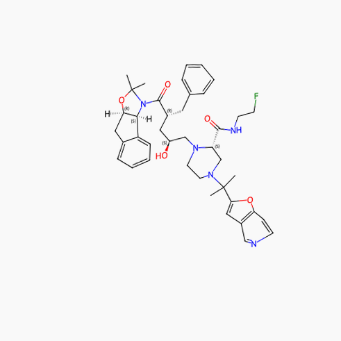 CC1(C)O[C@@H]2Cc3ccccc3[C@@H]2N1C(=O)[C@H](Cc1ccccc1)C[C@H](O)CN1CCN(C(C)(C)c2cc3cnccc3o2)C[C@H]1C(=O)NCCF